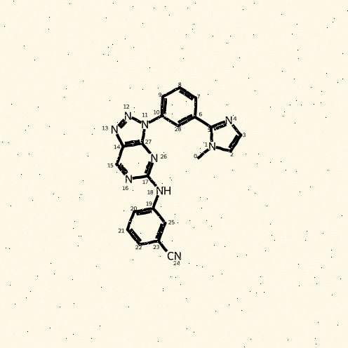 Cn1ccnc1-c1cccc(-n2nnc3cnc(Nc4cccc(C#N)c4)nc32)c1